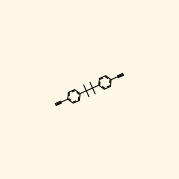 C#Cc1ccc(C(C)(C)C(C)(C)c2ccc(C#C)cc2)cc1